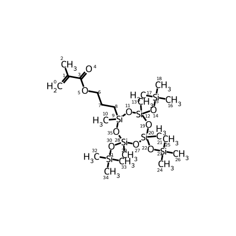 C=C(C)C(=O)OCCC[Si]1(C)O[Si](C)(O[Si](C)(C)C)O[Si](C)(O[Si](C)(C)C)O[Si](C)(O[Si](C)(C)C)O1